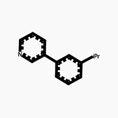 CC(C)c1cccc(-c2cccnc2)c1